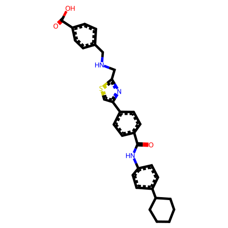 O=C(O)c1ccc(CNCc2nc(-c3ccc(C(=O)Nc4ccc(C5CCCCC5)cc4)cc3)cs2)cc1